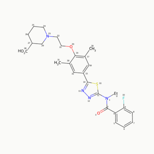 CCN(C(=O)c1ccccc1F)c1nnc(-c2cc(C)c(OCCN3CCCC(C(=O)O)C3)c(C)c2)s1